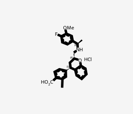 COc1cc([C@@H](C)NC[C@H]2C[C@@H](c3ccc(C(=O)O)c(C)c3)c3ccccc3O2)ccc1F.Cl